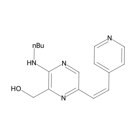 CCCCNc1ncc(/C=C\c2ccncc2)nc1CO